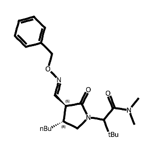 CCCC[C@H]1CN(C(C(=O)N(C)C)C(C)(C)C)C(=O)[C@@H]1C=NOCc1ccccc1